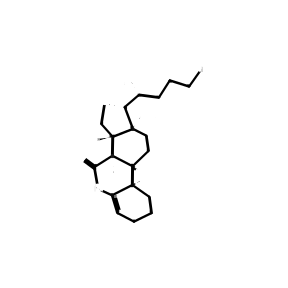 CC(C)CCC[C@@H](C)[C@H]1CC[C@H]2[C@@H]3C(=O)NC4=CCCC[C@]4(C)[C@H]3CC[C@]12C